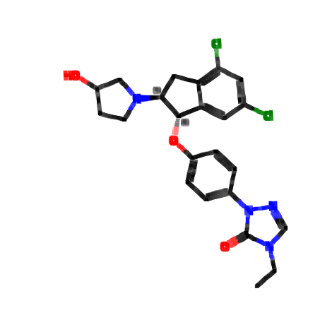 CCn1cnn(-c2ccc(O[C@H]3c4cc(Cl)cc(Cl)c4C[C@@H]3N3CCC(O)C3)cc2)c1=O